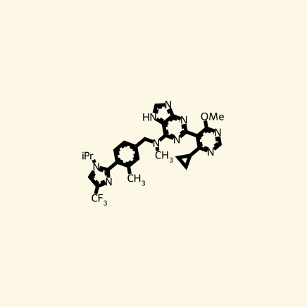 COc1ncnc(C2CC2)c1-c1nc(N(C)Cc2ccc(-c3nc(C(F)(F)F)cn3C(C)C)c(C)c2)c2[nH]cnc2n1